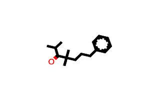 CC(C)C(=O)C(C)(C)CCCc1ccccc1